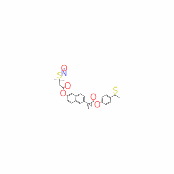 CC(=S)c1ccc(OC(=O)[C@@H](C)c2ccc3cc(OC(=O)CC(C)(C)SN=O)ccc3c2)cc1